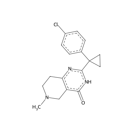 CN1CCc2nc(C3(c4ccc(Cl)cc4)CC3)[nH]c(=O)c2C1